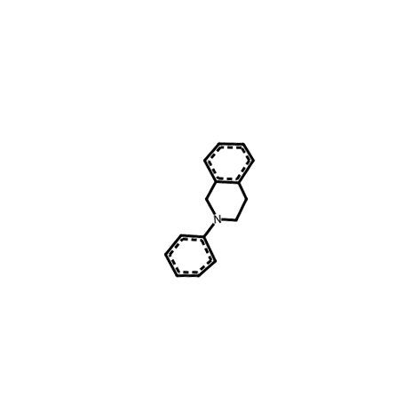 c1ccc(N2CCc3ccccc3C2)cc1